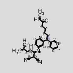 CNC(=O)CCC/C=C(/c1cccnc1)c1cccc(N=C(NCC(C)C)C(C#N)C#N)c1